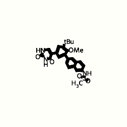 COc1c(-c2ccc3cc(NS(C)(=O)=O)ccc3c2)cc(-c2c[nH]c(=O)[nH]c2=O)cc1C(C)(C)C